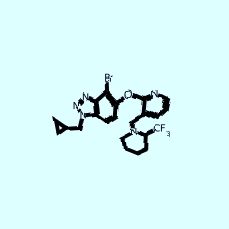 FC(F)(F)C1CCCCN1Cc1cccnc1Oc1ccc2c(nnn2CC2CC2)c1Br